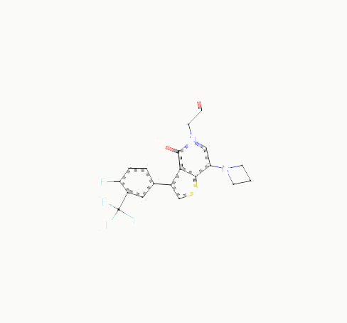 O=CCn1cc(N2CCC2)c2scc(-c3ccc(F)c(C(F)(F)F)c3)c2c1=O